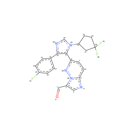 O=Cc1cnc2ccc(-c3c(-c4ccc(F)cc4)ncn3C3CCC(F)(F)C3)nn12